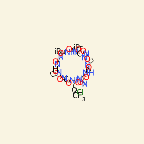 CC[C@H](C)[C@@H]1NC(=O)[C@@H](CC(C)C)N(C)C(=O)C[C@@H](C(=O)N(C)C)N(C)C(=O)[C@H](C2CCCC2)N(C)C(=O)C2(CCCC2)NC(=O)[C@H](CC(=O)N(C)C)N(C)C(=O)[C@H](CCc2ccc(C(F)(F)F)c(Cl)c2)NC(=O)CN(C)C(=O)[C@H](CC2CCCCC2)N(C)C(=O)[C@@H]2CCN2C(=O)[C@H](C)N(C)C1=O